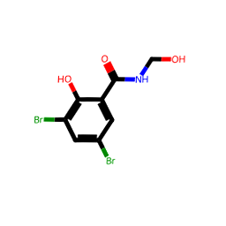 O=C(NCO)c1cc(Br)cc(Br)c1O